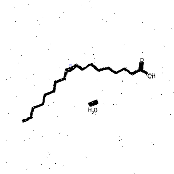 C=C.CCCCCCCC/C=C\CCCCCCCC(=O)O.O